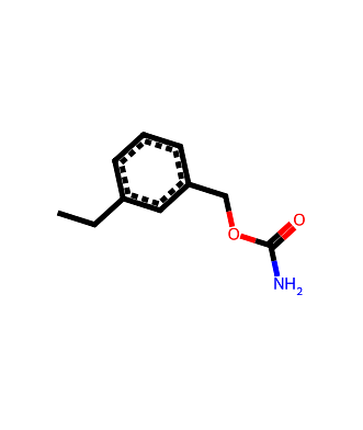 CCc1cccc(COC(N)=O)c1